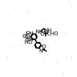 CC(=O)Nc1cc(-c2ccc3nc(C)oc3c2)c(O)c([As](=O)(O)O)c1.CC1(C=O)NCCO1